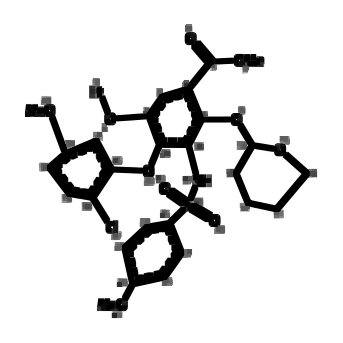 CCOc1cc(C(=O)OC)c(OC2CCCCO2)c(NS(=O)(=O)c2ccc(OC)cc2)c1Oc1cc(OC)ccc1Cl